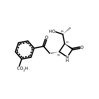 C[C@@H](O)[C@H]1C(=O)N[C@@H]1CC(=O)c1cccc(C(=O)O)c1